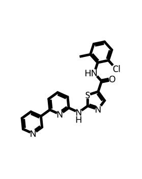 Cc1cccc(Cl)c1NC(=O)c1cnc(Nc2cccc(-c3cccnc3)n2)s1